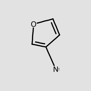 [N]c1ccoc1